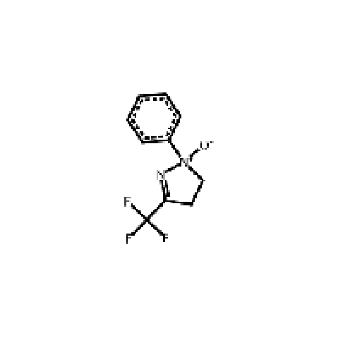 [O-][N+]1(c2ccccc2)CCC(C(F)(F)F)=N1